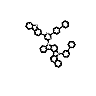 c1ccc(-c2ccc(-c3nc(-c4ccc5c(c4)oc4ccccc45)nc(-n4c5ccccc5c5c6c7ccc8ccccc8c7n(-c7cccc(-c8ccccc8)c7)c6ccc54)n3)cc2)cc1